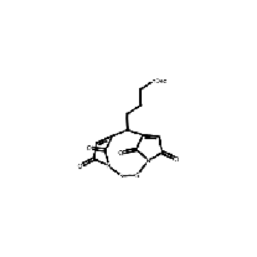 CCCCCCCCCCCCCC1C2=CC(=O)N(SSN3C(=O)C=C1C3=O)C2=O